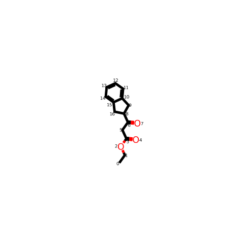 CCOC(=O)CC(=O)C1Cc2ccccc2C1